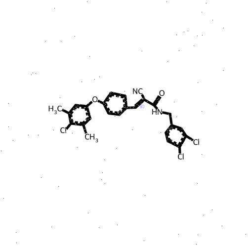 Cc1cc(Oc2ccc(/C=C(\C#N)C(=O)NCc3ccc(Cl)c(Cl)c3)cc2)cc(C)c1Cl